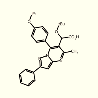 Cc1nc2cc(-c3ccccc3)nn2c(-c2ccc(OC(C)C)cc2)c1C(OC(C)(C)C)C(=O)O